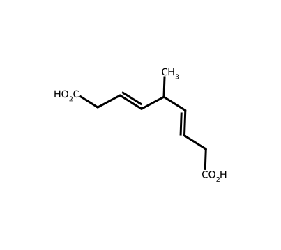 CC(/C=C/CC(=O)O)/C=C/CC(=O)O